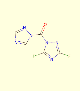 O=C(n1cncn1)n1nc(F)nc1F